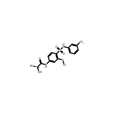 CCOc1cc(NC(=O)[C@@H](O)C(C)C)ccc1S(=O)(=O)Nc1cccc(C(F)(F)F)c1